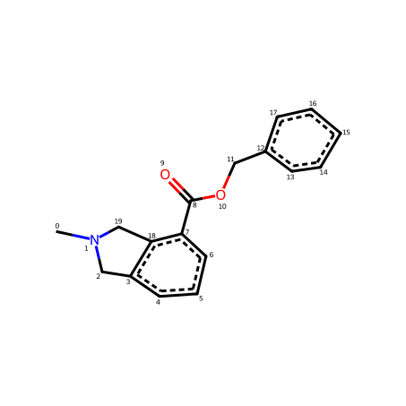 CN1Cc2cccc(C(=O)OCc3ccccc3)c2C1